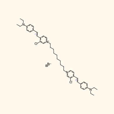 CCN(CC)c1ccc(/C=C/c2cc[n+](CCCCCCCCCC[n+]3ccc(/C=C/c4ccc(N(CC)CC)cc4)c(Cl)c3)cc2Cl)cc1.[Br-].[Br-]